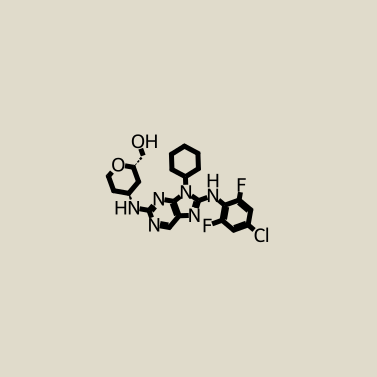 OC[C@@H]1C[C@H](Nc2ncc3nc(Nc4c(F)cc(Cl)cc4F)n(C4CCCCC4)c3n2)CCO1